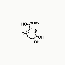 CCCCCC[C@H](O)[C@@H]1C/C=C/[C@@H](O)[C@H](O)CCC(=O)O1